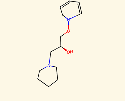 O[C@H](CON1C=CC=CC1)CN1CCCCC1